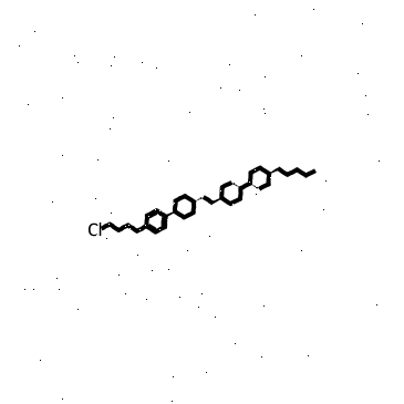 CCCCC[C@H]1CC[C@H]([C@H]2CC[C@H](CC[C@H]3CC[C@H](c4ccc(CCCCCl)cc4)CC3)CC2)CC1